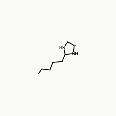 CCCCCC1N[CH]CN1